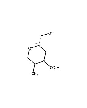 CC1CO[C@H](CBr)CN1C(=O)O